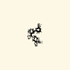 O=C1CN(C(=O)c2cc(-c3cccc(Br)c3)ncn2)CCN1